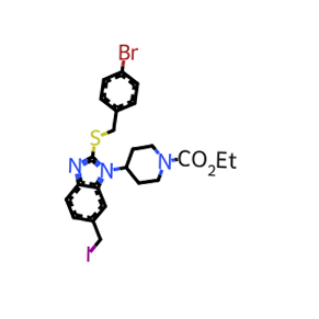 CCOC(=O)N1CCC(n2c(SCc3ccc(Br)cc3)nc3ccc(CI)cc32)CC1